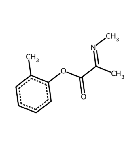 CN=C(C)C(=O)Oc1ccccc1C